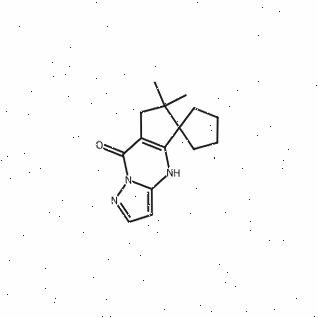 CC1(C)Cc2c([nH]c3ccnn3c2=O)C12CCCC2